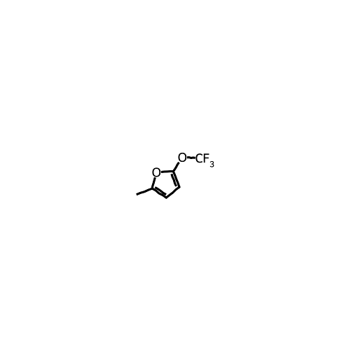 Cc1ccc(OC(F)(F)F)o1